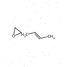 C1CO1.CC=CC